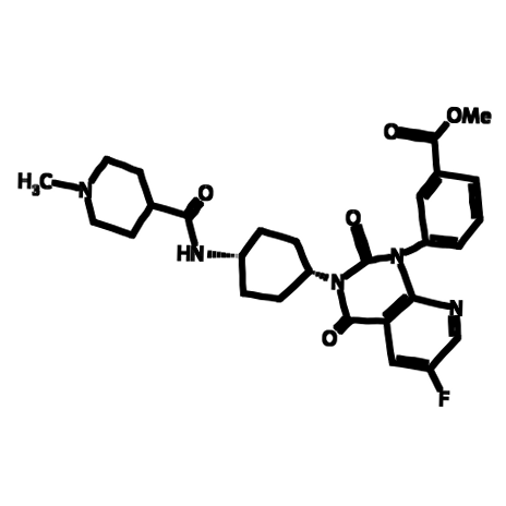 COC(=O)c1cccc(-n2c(=O)n([C@H]3CC[C@@H](NC(=O)C4CCN(C)CC4)CC3)c(=O)c3cc(F)cnc32)c1